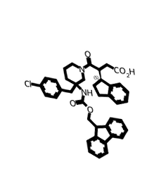 O=C(O)CC(C(=O)N1CCCC(Cc2ccc(Cl)cc2)(NC(=O)OCC2c3ccccc3-c3ccccc32)C1)[C@@H]1CCc2ccccc21